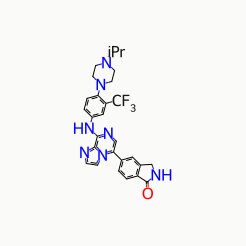 CC(C)N1CCN(c2ccc(Nc3ncc(-c4ccc5c(c4)CNC5=O)n4ccnc34)cc2C(F)(F)F)CC1